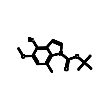 COc1cc(C)c2c(ccn2C(=O)OC(C)(C)C)c1Br